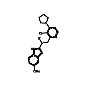 COc1ccc2[nH]c([S+]([O-])Cc3nccc(N4CCCC4)c3Cl)nc2c1